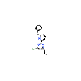 CCCc1cc(Cl)nc(-c2cccc(Cc3ccccc3)n2)n1